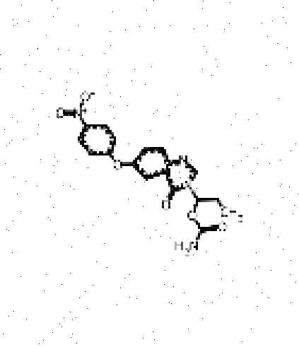 CCC(OC(N)=O)n1cnc2ccc(Oc3ccc([N+](=O)[O-])cc3)cc2c1=O